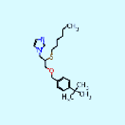 CCCCCCSC(COCc1ccc(C(C)(C)C)cc1)Cn1ccnc1